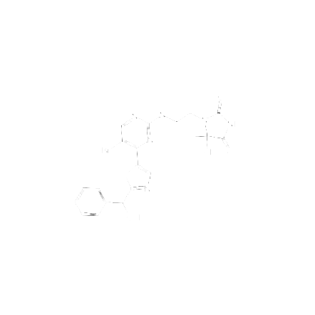 CC1(C)C(=O)NC(=O)N1CCNc1ncc(Br)c(-c2cnc(C(O)c3ccccc3)s2)n1